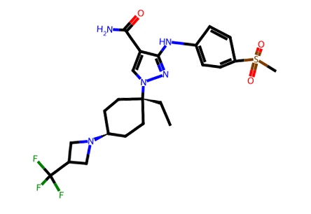 CC[C@]1(n2cc(C(N)=O)c(Nc3ccc(S(C)(=O)=O)cc3)n2)CC[C@H](N2CC(C(F)(F)F)C2)CC1